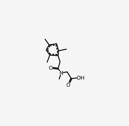 Cc1cc(C)c(CC(=O)N(C)CC(=O)O)c(C)c1